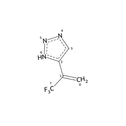 C=C(c1cnn[nH]1)C(F)(F)F